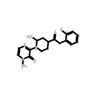 CC1CC(C(=O)Cc2ccccc2F)CCN1c1nccn(C)c1=O